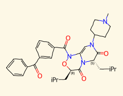 CC(C)C[C@H]1ON(C(=O)c2cccc(C(=O)c3ccccc3)c2)C2=CN(C3CCN(C)CC3)C(=O)[C@H](CC(C)C)N2C1=O